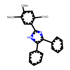 COc1cc(C=O)c(-c2nc(-c3ccccc3)c(-c3ccccc3)[nH]2)cc1OC